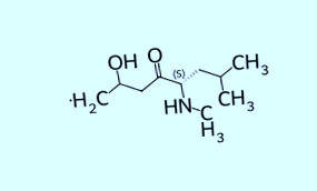 [CH2]C(O)CC(=O)[C@H](CC(C)C)NC